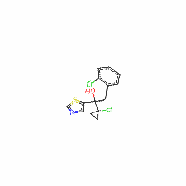 OC(Cc1ccccc1Cl)(c1cncs1)C1(Cl)CC1